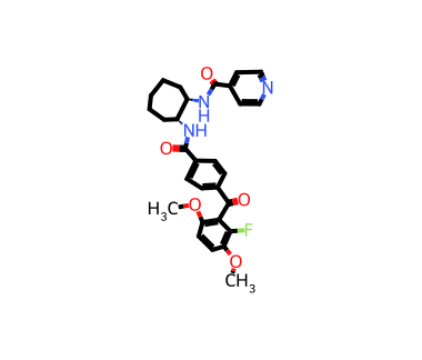 COc1ccc(OC)c(C(=O)c2ccc(C(=O)N[C@@H]3CCCCC[C@H]3NC(=O)c3ccncc3)cc2)c1F